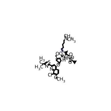 COc1ccc2c(O[C@H]3C[C@@H](C=O)[C@H](C(=O)N[C@]4(C(=O)NS(=O)(=O)C5CC5)C[C@H]4/C=C\CCCCN(C)C)C3)cc(-c3nc(C(C)C)cs3)nc2c1Cl